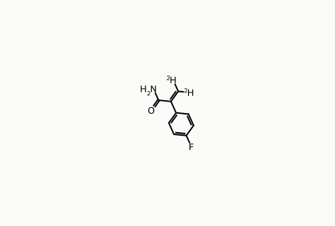 [2H]C([2H])=C(C(N)=O)c1ccc(F)cc1